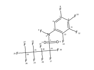 O=S(=O)(N(F)c1cc(F)c(F)c(F)c1F)C(F)(F)C(F)(F)C(F)(F)C(F)(F)F